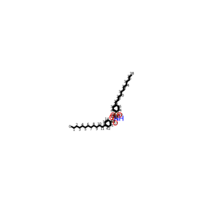 CCCCCCCCCCCCc1ccc(S(=O)(=O)NS(=O)(=O)c2ccc(CCCCCCCCCCCC)cc2)cc1